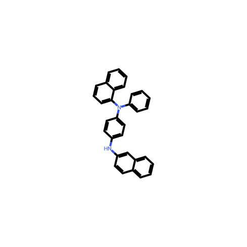 c1ccc(N(c2ccc(Nc3ccc4ccccc4c3)cc2)c2cccc3ccccc23)cc1